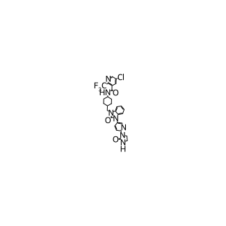 O=C(NC1CCC(Cn2c(=O)n(-c3ccc(N4CCNC4=O)nc3)c3ccccc32)CC1)c1cc(Cl)cnc1C(F)(F)F